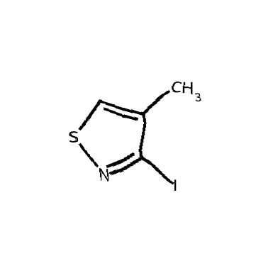 Cc1csnc1I